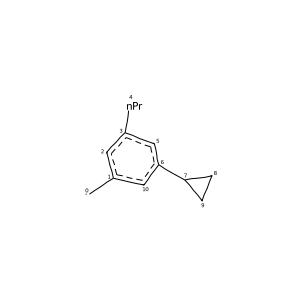 [CH2]c1cc(CCC)cc(C2CC2)c1